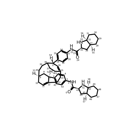 O=C(Nc1ccc([C@@H]2C[C@H]3CC=C2CCC2=C[C@@H](c4ccc(NC(=O)[C@@H]5C[C@@H]6CCCC[C@@H]6N5)cc4)C(CC2)CC3)cc1)[C@@H]1C[C@@H]2CCCC[C@@H]2N1